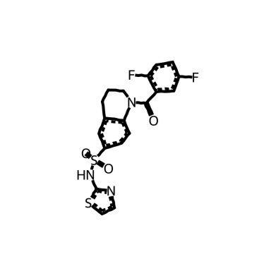 O=C(c1cc(F)ccc1F)N1CCCc2cc(S(=O)(=O)Nc3nccs3)ccc21